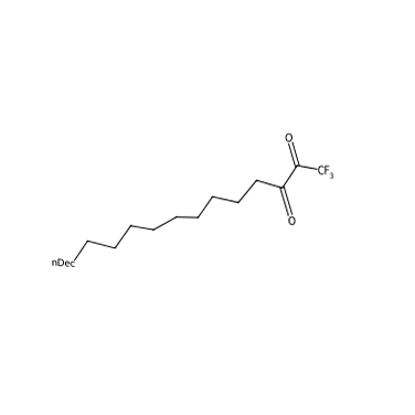 CCCCCCCCCCCCCCCCCCCC(=O)C(=O)C(F)(F)F